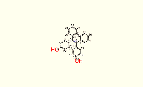 Oc1ccc(/C(=C(/c2ccccc2)c2ccc(O)cc2)c2ccccc2)cc1